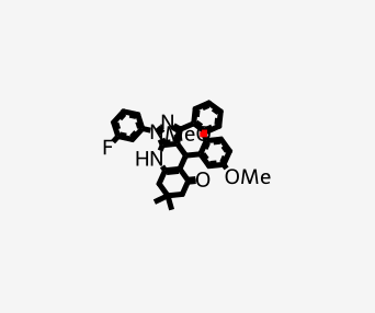 COc1ccc(OC)c(C2C3=C(CC(C)(C)CC3=O)Nc3c2c(-c2ccccc2)nn3-c2cccc(F)c2)c1